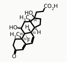 C[C@]12CCC(=O)C=C1C=C[C@H]1[C@@H]3CC[C@@](O)(CCC(=O)O)[C@@]3(C)C[C@H](O)[C@@]12F